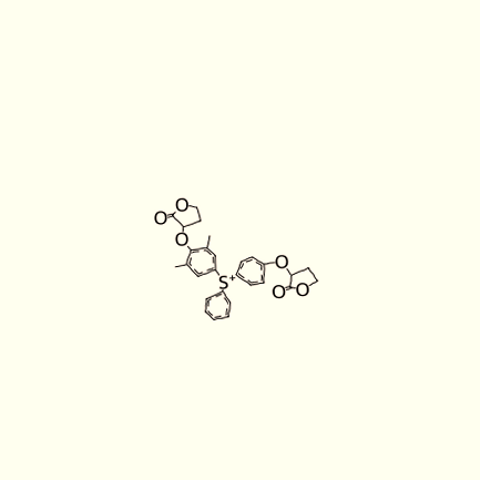 Cc1cc([S+](c2ccccc2)c2ccc(OC3CCOC3=O)cc2)cc(C)c1OC1CCOC1=O